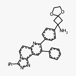 CC(C)c1nnc2c3cc(-c4ccccc4)c(-c4ccc(C5(N)CC6(C5)OCCO6)cc4)nc3ccn12